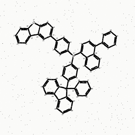 c1ccc(-c2ccc(N(c3ccc(-c4ccc5oc6ccccc6c5c4)cc3)c3ccc(C4(c5ccccc5)c5ccccc5-c5ccccc54)cc3)c3ccccc23)cc1